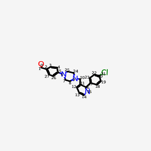 O=Cc1ccc(N2CCN(Cc3cccnc3-c3ccc(Cl)cc3)CC2)cc1